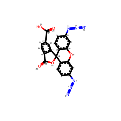 [N-]=[N+]=Nc1ccc2c(c1)Oc1cc(N=[N+]=[N-])ccc1C21OC(=O)c2ccc(C(=O)O)cc21